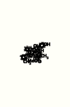 CCC(C)C(C(=O)NC(Cc1ccccc1)C(O)CN(Cc1ccc(O)cc1)NC(=O)CC(C)(C)CNC(=O)OC)N1CCN(Cc2cccc(C)n2)C1=O